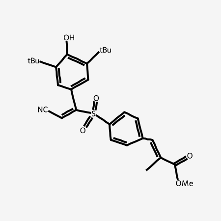 COC(=O)/C(C)=C/c1ccc(S(=O)(=O)/C(=C/C#N)c2cc(C(C)(C)C)c(O)c(C(C)(C)C)c2)cc1